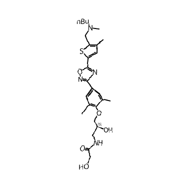 CCCCN(C)Cc1sc(-c2nc(-c3cc(C)c(OC[C@@H](O)CNC(=O)CO)c(C)c3)no2)cc1C